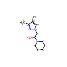 Cc1nn(CC(=O)N2CCCCC2)cc1C(C)C